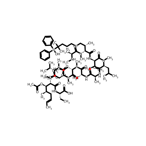 C/C=C/C[C@@H](C)[C@@H](OC(C)=O)[C@@H](C(=O)N[C@@H](CC)C(=O)O)N(C)C(=O)[C@H](C(C)C)N(C)C(=O)[C@H](CC(C)C)N(C)C(=O)[C@H](CC(C)C)N(C)C(=O)[C@@H](C)NC(=O)[C@H](C)NC(=O)[C@H](CC(C)C)N(C)C(=O)[C@H](NC(=O)[C@@H]([C@@H](C)COCCCC(C)(C)[Si](O)(c1ccccc1)c1ccccc1)N(C)C(=O)[C@H](C)NC)C(C)C